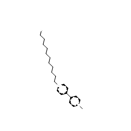 C[n+]1ccc(-c2cc[n+](CCCCCCCCCCCS)cc2)cc1